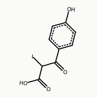 O=C(O)C(I)C(=O)c1ccc(O)cc1